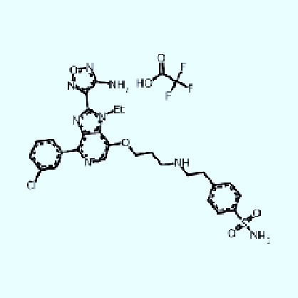 CCn1c(-c2nonc2N)nc2c(-c3cccc(Cl)c3)ncc(OCCCNCCc3ccc(S(N)(=O)=O)cc3)c21.O=C(O)C(F)(F)F